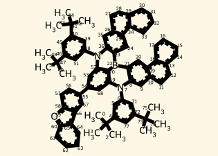 CC(C)(C)c1cc(N2c3cc4ccc5ccccc5c4cc3B3c4cc5c(ccc6ccccc65)cc4N(c4cc(C(C)(C)C)cc(C(C)(C)C)c4)c4cc(-c5ccc6oc7ccccc7c6c5)cc2c43)cc(C(C)(C)C)c1